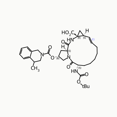 CC1CN(C(=O)O[C@@H]2C[C@H]3C(=O)N[C@]4(C(=O)O)C[C@H]4/C=C/CCCCC[C@H](NC(=O)OC(C)(C)C)C(=O)N3C2)Cc2ccccc21